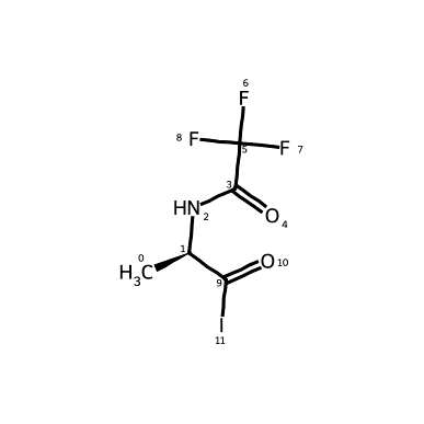 C[C@@H](NC(=O)C(F)(F)F)C(=O)I